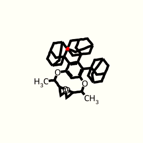 CC(Oc1cc(OC(C)C2CO2)c(C23CC4CC(CC(C4)C2)C3)c(C23CC4CC(CC(C4)C2)C3)c1C12CC3CC(CC(C3)C1)C2)C1CO1